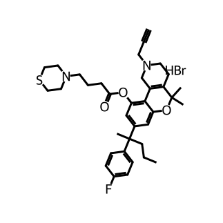 Br.C#CCN1CCC2=C(C1)c1c(OC(=O)CCCN3CCSCC3)cc(C(C)(CCC)c3ccc(F)cc3)cc1OC2(C)C